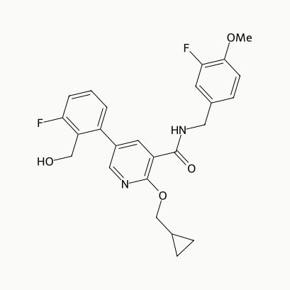 COc1ccc(CNC(=O)c2cc(-c3cccc(F)c3CO)cnc2OCC2CC2)cc1F